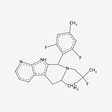 Cc1cc(F)c(C2c3[nH]c4ncccc4c3CC(C)N2CC(C)(C)F)c(F)c1